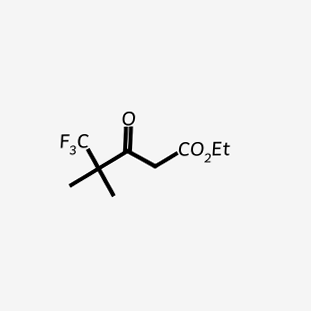 CCOC(=O)CC(=O)C(C)(C)C(F)(F)F